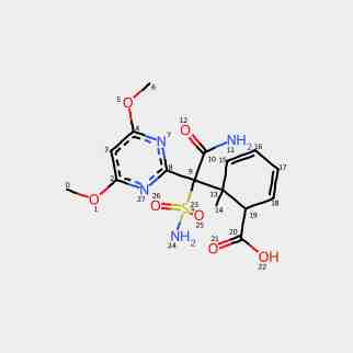 COc1cc(OC)nc(C(C(N)=O)(C2(C)C=CC=CC2C(=O)O)S(N)(=O)=O)n1